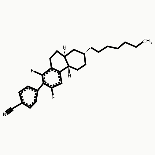 CCCCCCC[C@@H]1CC[C@@H]2c3cc(F)c(-c4ccc(C#N)cc4)c(F)c3CC[C@H]2C1